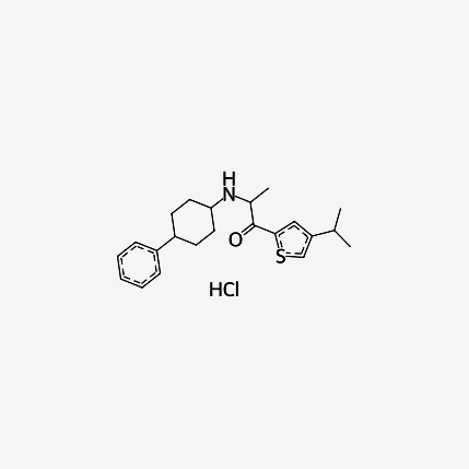 CC(NC1CCC(c2ccccc2)CC1)C(=O)c1cc(C(C)C)cs1.Cl